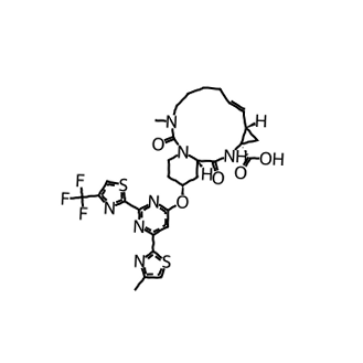 Cc1csc(-c2cc(O[C@H]3CCN4C(=O)N(C)CCCC/C=C/[C@@H]5C[C@@]5(C(=O)O)NC(=O)[C@@H]4C3)nc(-c3nc(C(F)(F)F)cs3)n2)n1